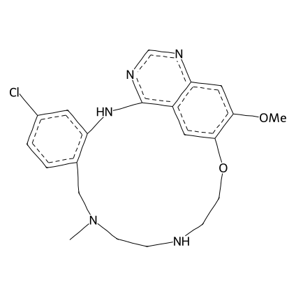 COc1cc2ncnc3c2cc1OCCNCCN(C)Cc1ccc(Cl)cc1N3